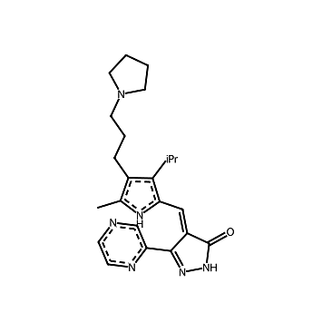 Cc1[nH]c(/C=C2/C(=O)NN=C2c2cnccn2)c(C(C)C)c1CCCN1CCCC1